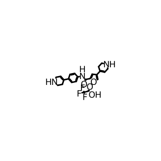 O=C(Nc1ccc(C2=CCNCC2)cc1)c1cc(C2=CCNCC2)co1.O=C(O)C(F)(F)F